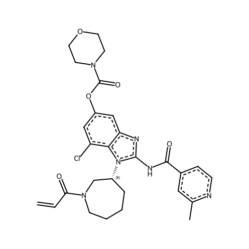 C=CC(=O)N1CCCC[C@@H](n2c(NC(=O)c3ccnc(C)c3)nc3cc(OC(=O)N4CCOCC4)cc(Cl)c32)C1